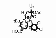 CC(=O)OC(C)(C)C(=O)NC[C@@H]1O[C@@H](C(C)(C)C)CN(C(=O)O)C[C@@H]1c1ccc(Cl)c(Cl)c1